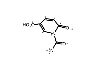 NC(=O)n1cc(C(=O)O)ccc1=O